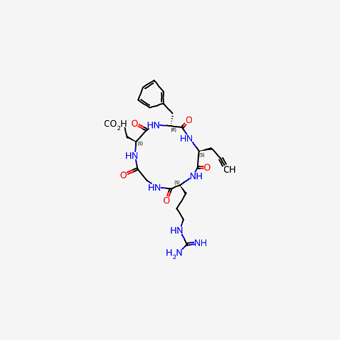 C#CC[C@@H]1NC(=O)[C@@H](Cc2ccccc2)NC(=O)[C@H](CC(=O)O)NC(=O)CNC(=O)[C@H](CCCNC(=N)N)NC1=O